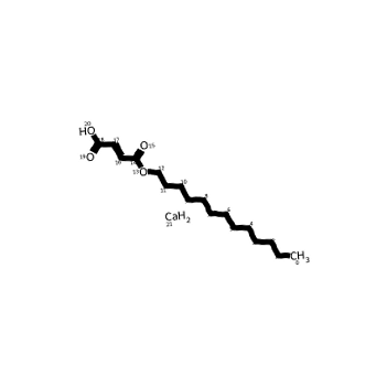 CCCCCCCCCCCCCOC(=O)C=CC(=O)O.[CaH2]